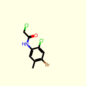 Cc1cc(NC(=O)CCl)c(Cl)cc1Br